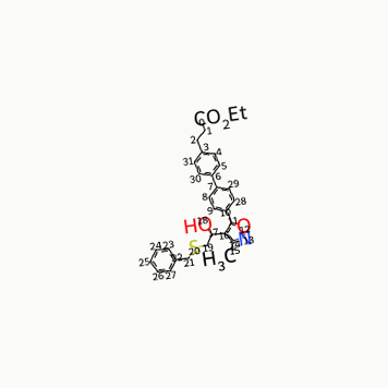 CCOC(=O)CCc1ccc(-c2ccc(-c3onc(C)c3[C@H](O)CSCc3ccccc3)cc2)cc1